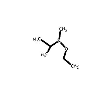 [CH2]CON(C)C(C)C